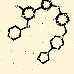 Cc1cc(-c2cnc(Nc3cnc(CN4CCC(N5CCCC5)CC4)cn3)s2)nc(NC2CCCCC2)n1